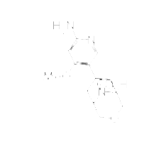 COc1cc(N)ncc1C1CC2COCC(C1)N2C(=O)O